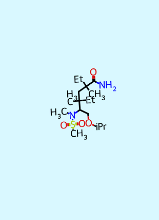 CCC(C)(CC(C)(CC)C(COC(C)C)N(C)S(C)(=O)=O)C(N)=O